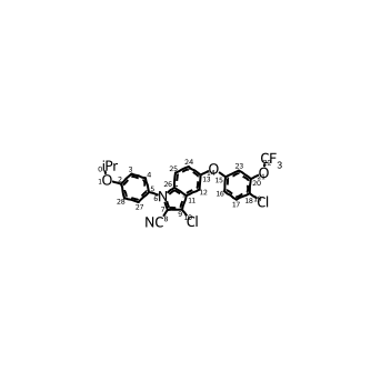 CC(C)Oc1ccc(-n2c(C#N)c(Cl)c3cc(Oc4ccc(Cl)c(OC(F)(F)F)c4)ccc32)cc1